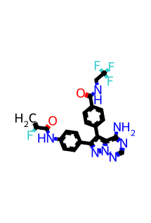 C=C(F)C(=O)Nc1ccc(-c2nn3ncnc(N)c3c2-c2ccc(C(=O)NCC(F)(F)F)cc2)cc1